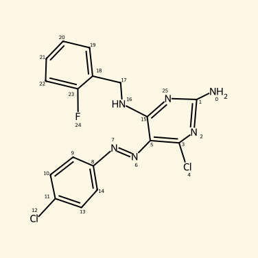 Nc1nc(Cl)c(N=Nc2ccc(Cl)cc2)c(NCc2ccccc2F)n1